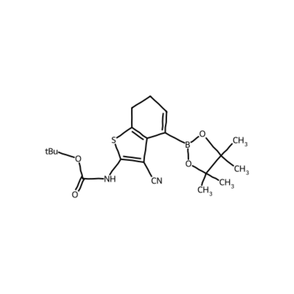 CC(C)(C)OC(=O)Nc1sc2c(c1C#N)C(B1OC(C)(C)C(C)(C)O1)=CCC2